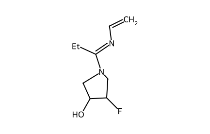 C=C/N=C(\CC)N1CC(O)C(F)C1